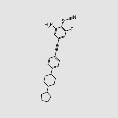 N#CSc1c(F)cc(C#Cc2ccc(C3CCC(C4CCCC4)CC3)cc2)cc1P